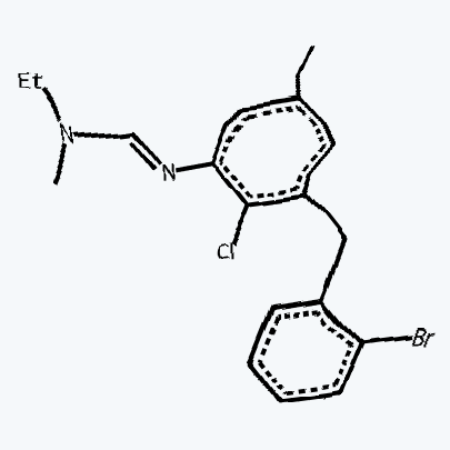 CCN(C)C=Nc1cc(C)cc(Cc2ccccc2Br)c1Cl